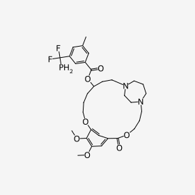 COc1cc2cc(c1OC)OCCCC(OC(=O)c1cc(C)cc(C(F)(F)P)c1)CCN1CCCN(CCCOC2=O)CC1